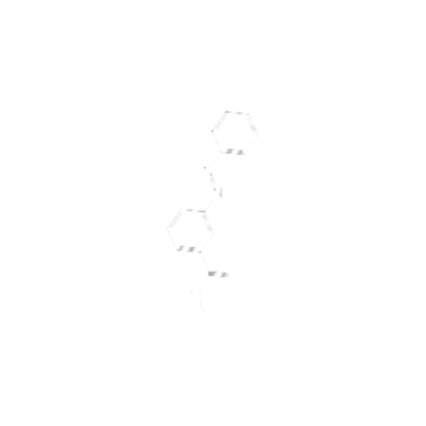 COC(=O)c1cccc(/N=N/c2ccccc2)c1